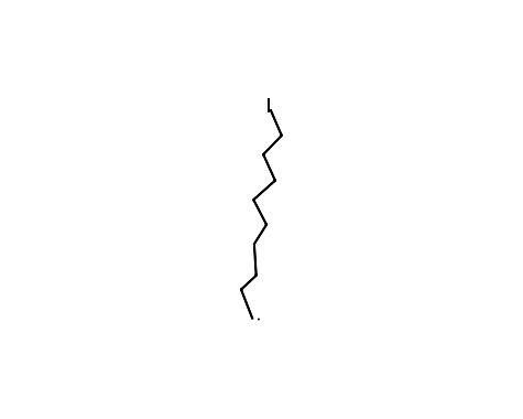 [CH2]CCCCCCCCI